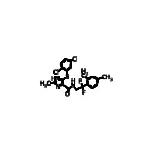 Cc1ccc(C(F)(F)CNC(=O)c2nc(C)[nH]c2Sc2cc(Cl)ccc2Cl)c(C)c1